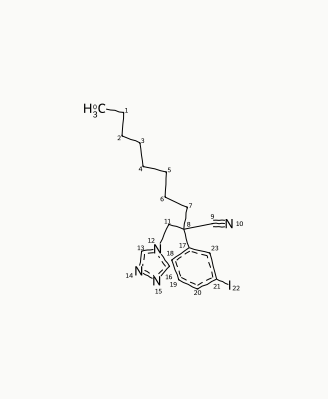 CCCCCCCCC(C#N)(Cn1cnnc1)c1cccc(I)c1